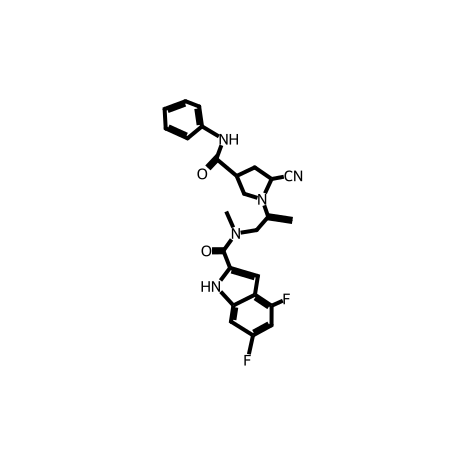 C=C(CN(C)C(=O)c1cc2c(F)cc(F)cc2[nH]1)N1CC(C(=O)Nc2ccccc2)CC1C#N